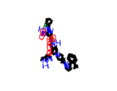 CC(C)c1ccccc1C1CCCN1C1CC2(CCN(c3ccc(C(=O)NS(=O)(=O)c4cnc(NCC5(F)CCCCC5)c([N+](=O)[O-])c4)c(Oc4cnc5[nH]ccc5c4)c3)CC2)C1